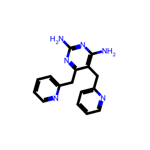 Nc1nc(N)c(Cc2ccccn2)c(Cc2ccccn2)n1